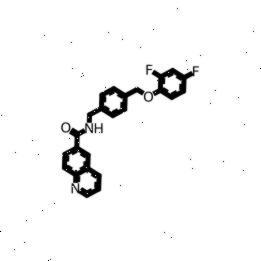 O=C(NCc1ccc(COc2ccc(F)cc2F)cc1)c1ccc2ncccc2c1